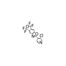 FC1(F)OC(F)(F)c2cc3oc(-c4ccncc4Cl)nc3cc21